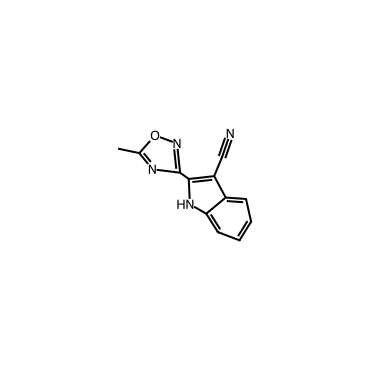 Cc1nc(-c2[nH]c3ccccc3c2C#N)no1